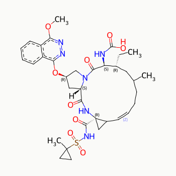 CC[C@@H]1CC(C)CC/C=C\C2C[C@@]2(C(=O)NS(=O)(=O)C2(C)CC2)NC(=O)[C@@H]2C[C@@H](Oc3nnc(OC)c4ccccc34)CN2C(=O)[C@H]1NC(=O)O